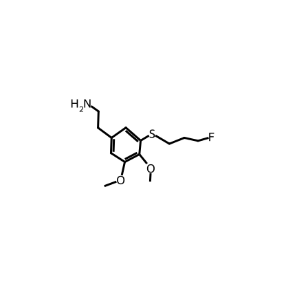 COc1cc(CCN)cc(SCCCF)c1OC